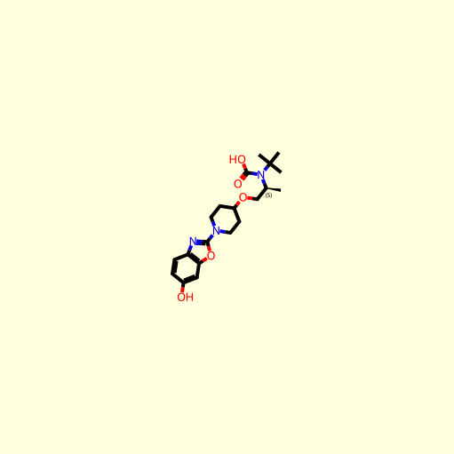 C[C@@H](COC1CCN(c2nc3ccc(O)cc3o2)CC1)N(C(=O)O)C(C)(C)C